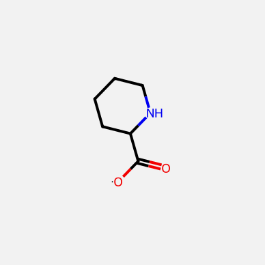 [O]C(=O)C1CCCCN1